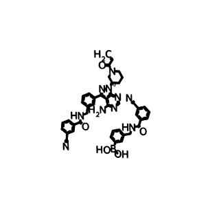 C=CC(=O)N1CCC[C@@H](n2nc(-c3cccc(CNC(=O)c4cccc(C#N)c4)c3)c3c(N)ncnc32)C1.N#Cc1cccc(C(=O)NCc2cccc(B(O)O)c2)c1